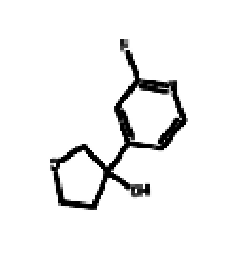 OC1(c2ccnc(F)c2)CCOC1